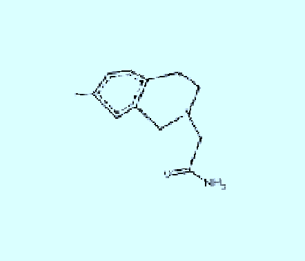 Cc1ccc2c(c1)CN(CC(N)=O)CC2